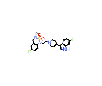 CC(C)N1Cc2cc(F)ccc2N(CCN2CC=C(c3c[nH]c4cc(F)ccc34)CC2)S1(=O)=O